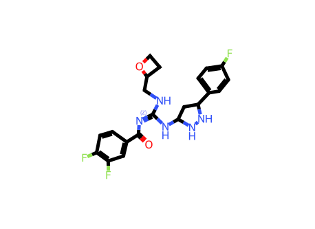 O=C(/N=C(/NCC1CCO1)NC1CC(c2ccc(F)cc2)NN1)c1ccc(F)c(F)c1